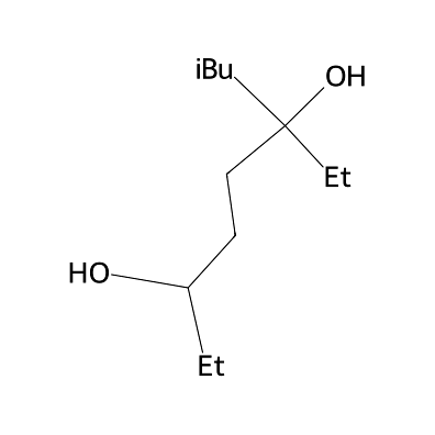 CCC(O)CCC(O)(CC)C(C)CC